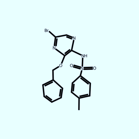 Cc1ccc(S(=O)(=O)Nc2ncc(Br)nc2OCc2ccccc2)cc1